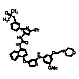 COc1cc(Nc2cc(Oc3ccc(NC(=O)Nc4cc(C(C)C)nn4-c4cccc(CP(C)(C)=O)c4)c4ccccc34)ccn2)cc(OCCN2CCOCC2)c1